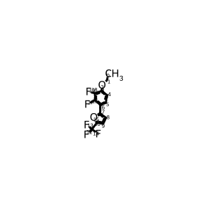 CCOc1ccc(-c2ccc(C(F)(F)F)o2)c(F)c1F